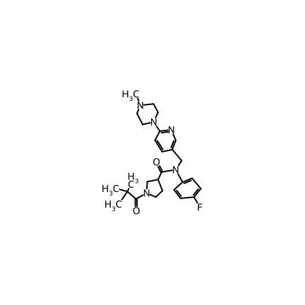 CN1CCN(c2ccc(CN(C(=O)C3CCN(C(=O)C(C)(C)C)C3)c3ccc(F)cc3)cn2)CC1